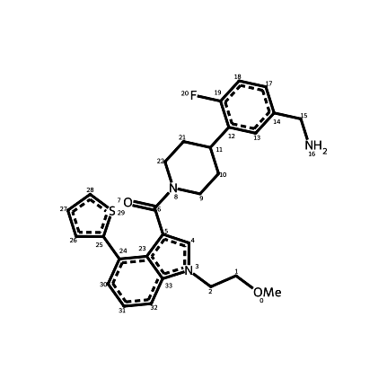 COCCn1cc(C(=O)N2CCC(c3cc(CN)ccc3F)CC2)c2c(-c3cccs3)cccc21